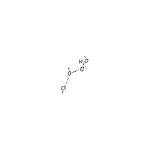 ClOCl.O